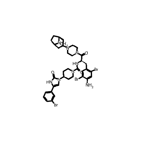 CN1C2CCC1CC(N1CCN(C(=O)[C@@H](Cc3cc(Br)c(N)cc3Br)NC(=O)N3CCC(n4cc(-c5cccc(Br)c5)[nH]c4=O)CC3)CC1)C2